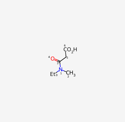 CCN(C)C(=O)CC(=O)O